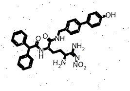 N/C(=N/[N+](=O)[O-])C(N)CCC(NC(=O)C(c1ccccc1)c1ccccc1)C(=O)NCc1ccc(-c2ccc(O)cc2)cc1